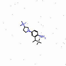 CC(c1cc(N2CCC([N+](C)(C)C)C2)ccc1N)[Si](C)(C)C